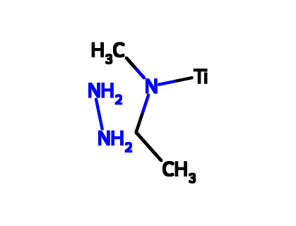 CC[N](C)[Ti].NN